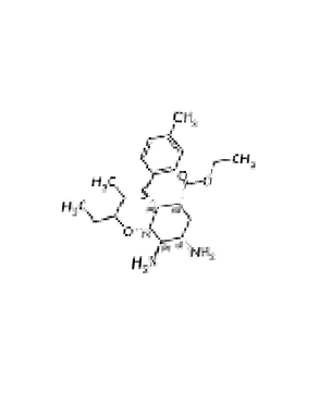 CCOC(=O)[C@@H]1C[C@H](N)[C@@H](N)[C@H](OC(CC)CC)[C@@H]1Sc1ccc(C)cc1